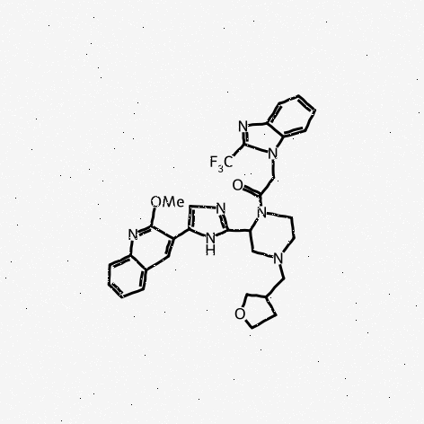 COc1nc2ccccc2cc1-c1cnc(C2CN(CC3CCOC3)CCN2C(=O)Cn2c(C(F)(F)F)nc3ccccc32)[nH]1